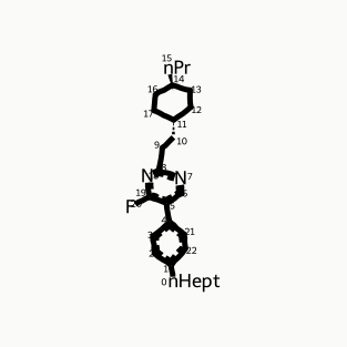 CCCCCCCc1ccc(-c2cnc(CC[C@H]3CC[C@H](CCC)CC3)nc2F)cc1